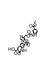 CCOC(=O)c1cccc(NC(=O)OCc2cn(-c3cc4cc(C(=O)O)c(=O)[nH]c4cc3[N+](=O)[O-])cn2)c1